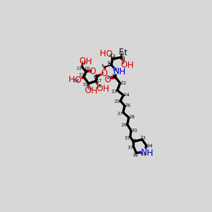 CC[C@@H](O)[C@@H](O)[C@H](COC1OC(CO)C(O)C(O)C1O)NC(=O)CCCCCCCCCCC1CCNCC1